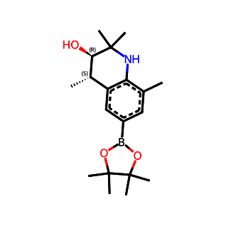 Cc1cc(B2OC(C)(C)C(C)(C)O2)cc2c1NC(C)(C)[C@H](O)[C@H]2C